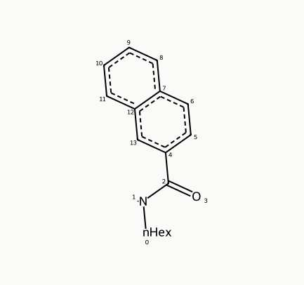 CCCCCC[N]C(=O)c1ccc2ccccc2c1